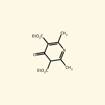 CCOC(=O)C1=C(C)N=C(C)C(C(=O)OCC)C1=O